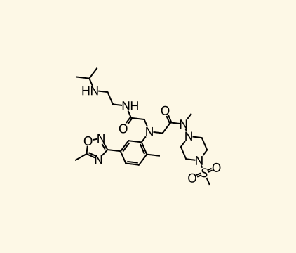 Cc1nc(-c2ccc(C)c(N(CC(=O)NCCNC(C)C)CC(=O)N(C)N3CCN(S(C)(=O)=O)CC3)c2)no1